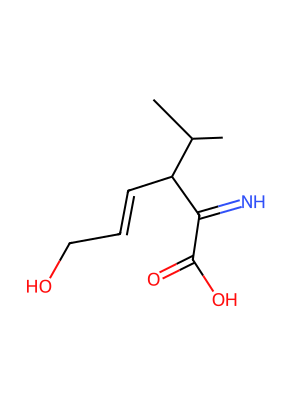 CC(C)C(C=CCO)C(=N)C(=O)O